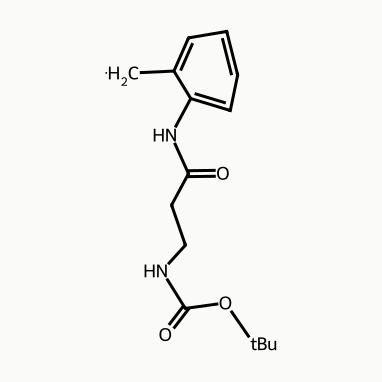 [CH2]c1ccccc1NC(=O)CCNC(=O)OC(C)(C)C